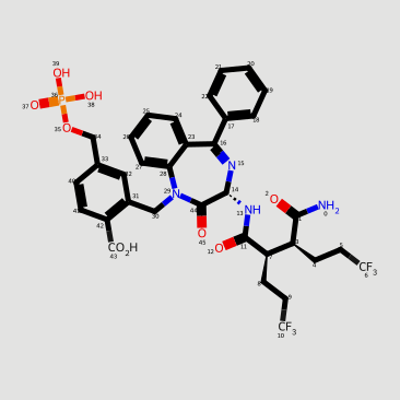 NC(=O)[C@@H](CCC(F)(F)F)[C@@H](CCC(F)(F)F)C(=O)N[C@H]1N=C(c2ccccc2)c2ccccc2N(Cc2cc(COP(=O)(O)O)ccc2C(=O)O)C1=O